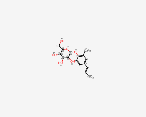 COc1cc(C=C[N+](=O)[O-])ccc1O[C@H]1O[C@H](CO)[C@@H](O)[C@H](O)[C@@H]1O